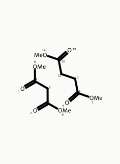 COC(=O)CC(=O)OC.COC(=O)CCC(=O)OC